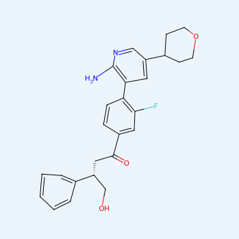 Nc1ncc(C2CCOCC2)cc1-c1ccc(C(=O)C[C@H](CO)c2ccccc2)cc1F